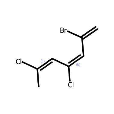 C=C(Br)/C=C(Cl)\C=C(/C)Cl